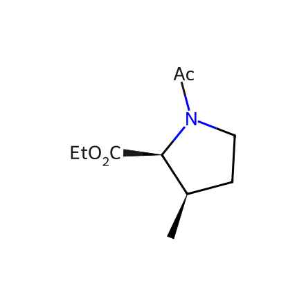 CCOC(=O)[C@@H]1[C@H](C)CCN1C(C)=O